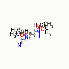 CC(C)(C)OC(=O)NCCCCN(CCC#N)C(=O)OC(C)(C)C